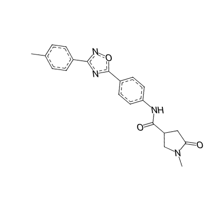 Cc1ccc(-c2noc(-c3ccc(NC(=O)C4CC(=O)N(C)C4)cc3)n2)cc1